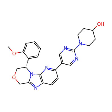 COc1ccccc1[C@H]1COCc2nc3ccc(-c4cnc(N5CCC(O)CC5)nc4)nc3n21